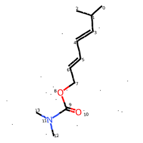 CC(C)C=CC=CCOC(=O)N(C)C